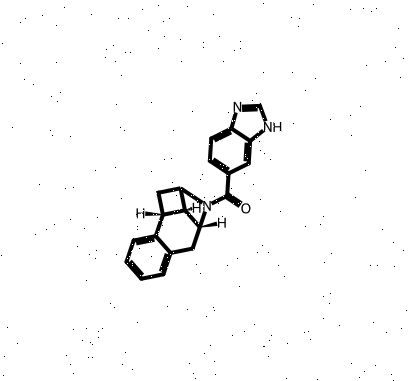 O=C(c1ccc2nc[nH]c2c1)N1C2C[C@H]3c4ccccc4C[C@@H]1[C@H]23